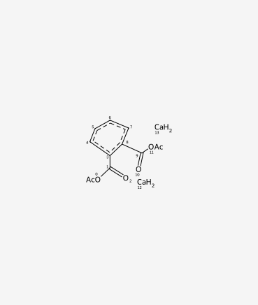 CC(=O)OC(=O)c1ccccc1C(=O)OC(C)=O.[CaH2].[CaH2]